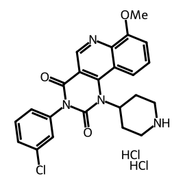 COc1cccc2c1ncc1c(=O)n(-c3cccc(Cl)c3)c(=O)n(C3CCNCC3)c12.Cl.Cl